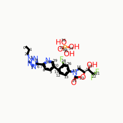 CCCn1nnc(-c2ccc(-c3ccc(N4C[C@H](C(O)C(F)F)OC4=O)cc3F)cn2)n1.O=P(O)(O)O